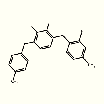 Cc1ccc(Cc2ccc(Cc3ccc(C)cc3F)c(F)c2F)cc1